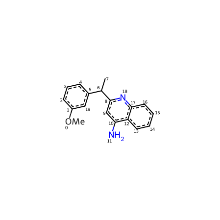 COc1cccc(C(C)c2cc(N)c3ccccc3n2)c1